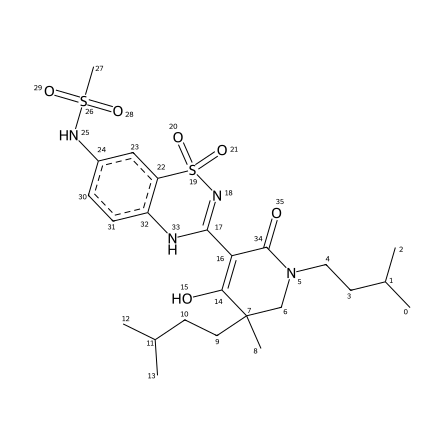 CC(C)CCN1CC(C)(CCC(C)C)C(O)=C(C2=NS(=O)(=O)c3cc(NS(C)(=O)=O)ccc3N2)C1=O